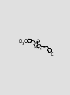 O=C(O)c1ccc(Cn2cnc3cnc(C#CCc4ccc(Cl)cc4)cc3c2=O)cc1